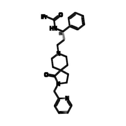 CC(C)C(=O)N[C@@H](CCN1CCC2(CC1)CCN(Cc1ccccn1)C2=O)c1ccccc1